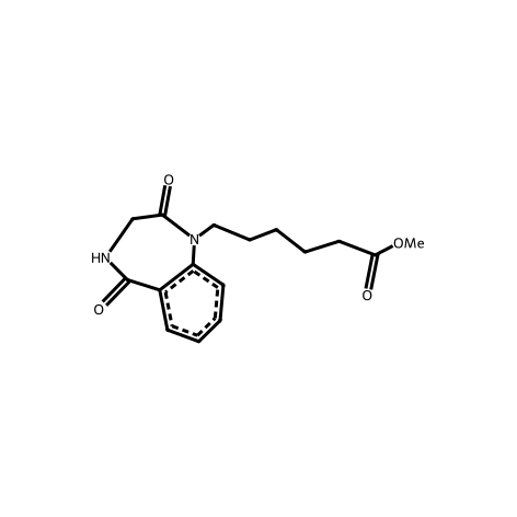 COC(=O)CCCCCN1C(=O)CNC(=O)c2ccccc21